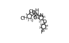 Cc1cc(Cl)cc(Cl)c1S(=O)(=O)Nc1ccc(Oc2ccc(F)cc2)cn1